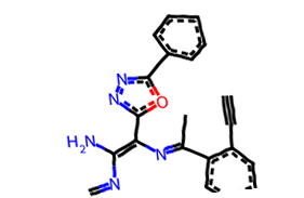 C#Cc1ccccc1/C(C)=N/C(=C(/N)N=C)c1nnc(-c2ccccc2)o1